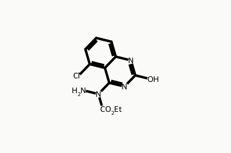 CCOC(=O)N(N)c1nc(O)nc2cccc(Cl)c12